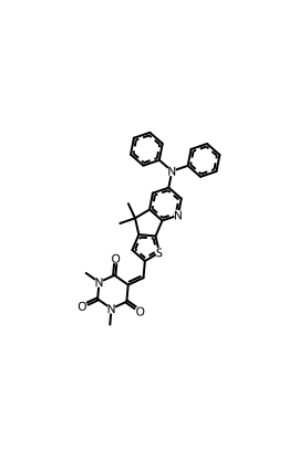 CN1C(=O)C(=Cc2cc3c(s2)-c2ncc(N(c4ccccc4)c4ccccc4)cc2C3(C)C)C(=O)N(C)C1=O